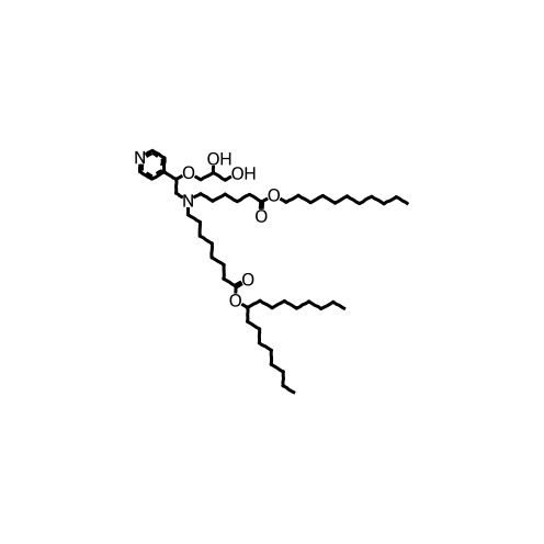 CCCCCCCCCCCOC(=O)CCCCCN(CCCCCCCC(=O)OC(CCCCCCCC)CCCCCCCC)CC(OCC(O)CO)c1ccncc1